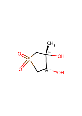 C[C@]1(O)CS(=O)(=O)C[C@H]1O